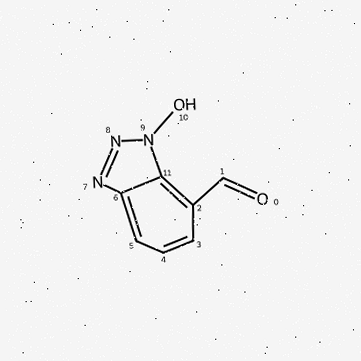 O=Cc1cccc2nnn(O)c12